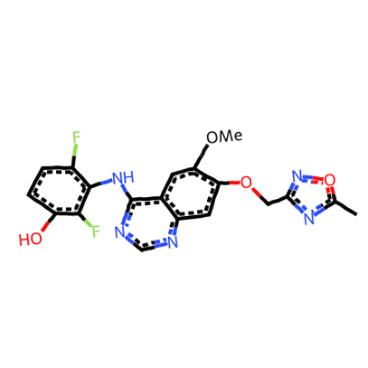 COc1cc2c(Nc3c(F)ccc(O)c3F)ncnc2cc1OCc1noc(C)n1